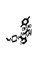 CCN1CCN(c2nc3c(S(=O)(=O)c4cc(C)ccc4C)nnn3c3ccsc23)CC1